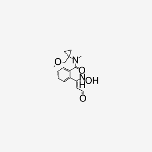 COCC1(N(C)C(=O)c2ccccc2C(=CC=O)NO)CC1